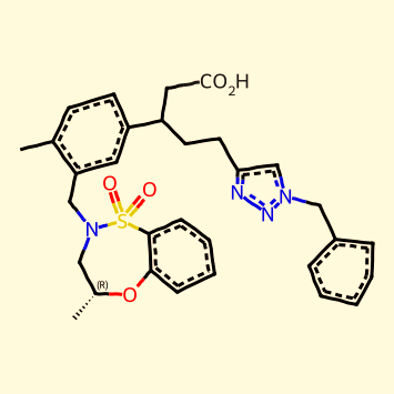 Cc1ccc(C(CCc2cn(Cc3ccccc3)nn2)CC(=O)O)cc1CN1C[C@@H](C)Oc2ccccc2S1(=O)=O